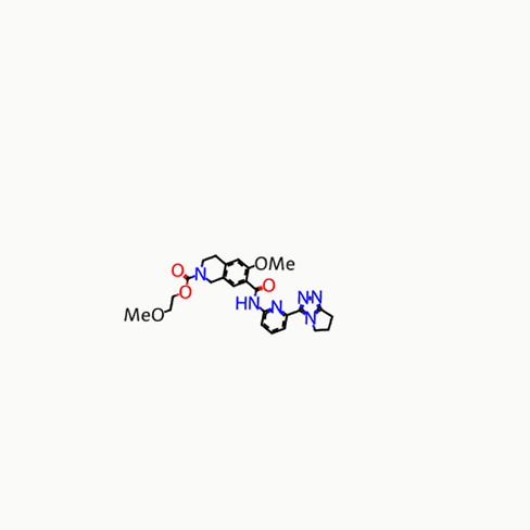 COCCOC(=O)N1CCc2cc(OC)c(C(=O)Nc3cccc(-c4nnc5n4CCC5)n3)cc2C1